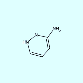 NC1=CC=CN[N]1